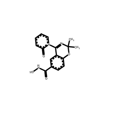 CC1(C)N=C(n2ccccc2=O)c2cc(C(=O)NS)ccc2O1